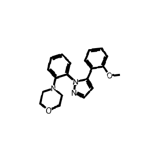 COc1ccccc1-c1ccnn1-c1ccccc1N1CCOCC1